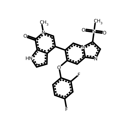 Cn1cc(-c2cn3c(S(C)(=O)=O)cnc3cc2Oc2ccc(F)cc2F)c2cc[nH]c2c1=O